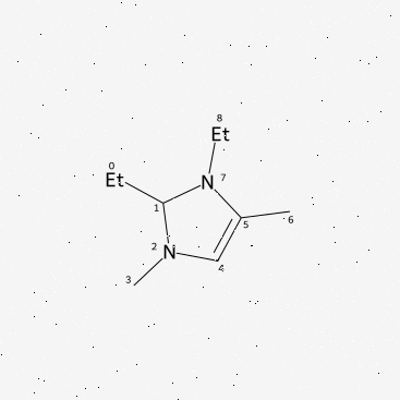 CCC1N(C)C=C(C)N1CC